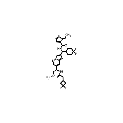 CCn1nccc1C(=O)N[C@H](c1cn2ncc([C@H](COC)NC(=O)CC3CC(F)(F)C3)cc2n1)C1CCC(F)(F)CC1